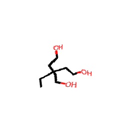 CCC(CO)(CCO)CCO